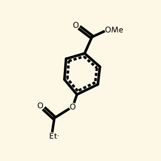 C[CH]C(=O)Oc1ccc(C(=O)OC)cc1